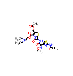 CCN(CC)CCOC(=O)C1=C(COC(C)=O)CSC2C(NC(=O)/C(=N\OC)c3csc(NC(C)=O)n3)C(=O)N12